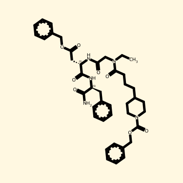 CCN(CC(=O)N[C@@H](CC(=O)OCc1ccccc1)C(=O)N[C@@H](Cc1ccccc1)C(N)=O)C(=O)CCCC1CCN(C(=O)OCc2ccccc2)CC1